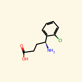 N[C@@H](CCC(=O)O)c1ccccc1Cl